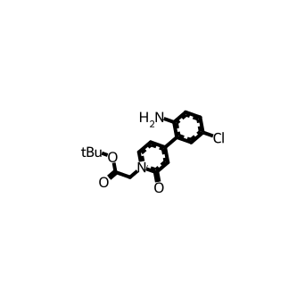 CC(C)(C)OC(=O)Cn1ccc(-c2cc(Cl)ccc2N)cc1=O